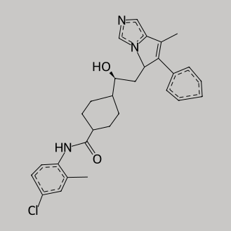 CC1=C(c2ccccc2)C(C[C@H](O)C2CCC(C(=O)Nc3ccc(Cl)cc3C)CC2)n2cncc21